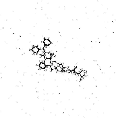 COC(=O)N(C(=O)[C@@H](N)C(c1ccccc1)c1ccccc1)c1ccccc1CC[C@@H]1CN[C@H](COC(=O)N[C@H]2COC[C@@H]2F)CO1